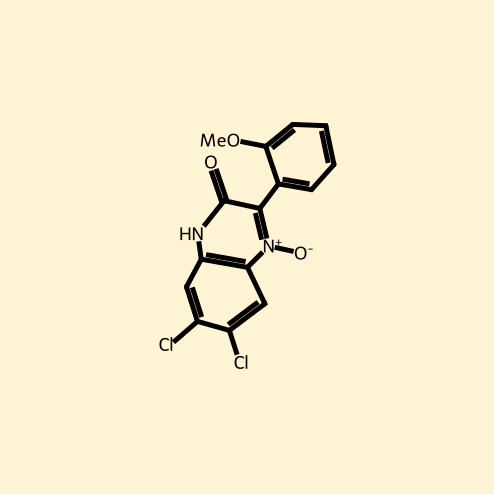 COc1ccccc1-c1c(=O)[nH]c2cc(Cl)c(Cl)cc2[n+]1[O-]